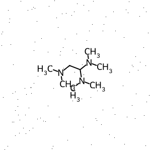 CN(C)CC(N(C)C)N(C)C